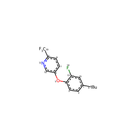 CC(C)(C)c1ccc(Oc2ccc(C(F)(F)F)nc2)c(F)c1